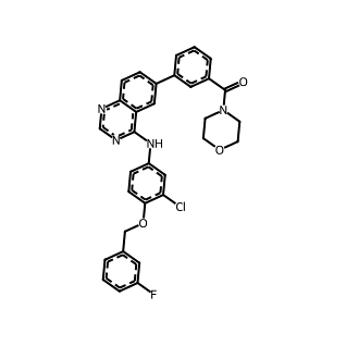 O=C(c1cccc(-c2ccc3ncnc(Nc4ccc(OCc5cccc(F)c5)c(Cl)c4)c3c2)c1)N1CCOCC1